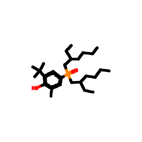 CCCCC(CC)CP(=O)(CC(CC)CCCC)c1cc(C)c(O)c(C(C)(C)C)c1